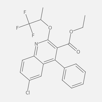 CCOC(=O)c1c(OC(C)C(F)(F)F)nc2ccc(Cl)cc2c1-c1ccccc1